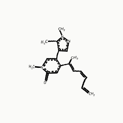 C=C/C=C\C=C(/C)c1cc(=O)n(C)cc1-c1cnn(C)c1C